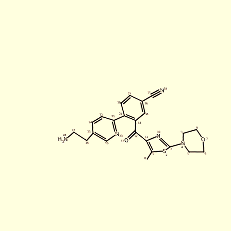 Cc1sc(N2CCOCC2)nc1C(=O)c1cc(C#N)ccc1-c1ccc(CCN)cn1